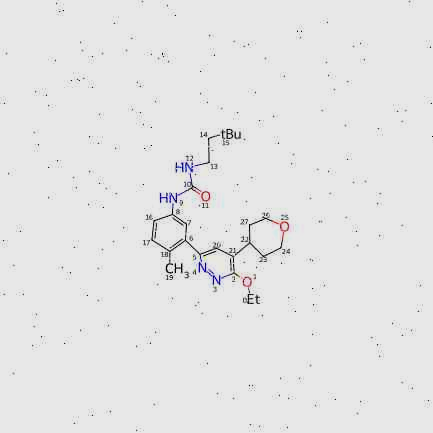 CCOc1nnc(-c2cc(NC(=O)NCCC(C)(C)C)ccc2C)cc1C1CCOCC1